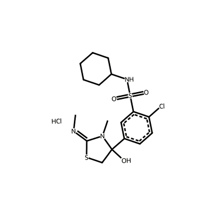 CN=C1SCC(O)(c2ccc(Cl)c(S(=O)(=O)NC3CCCCC3)c2)N1C.Cl